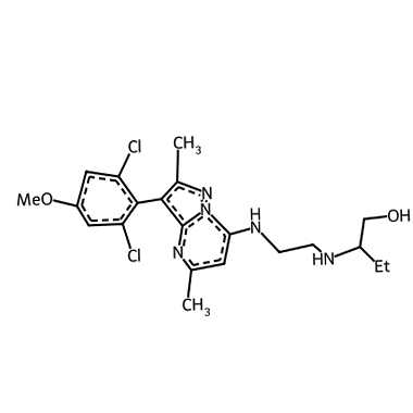 CCC(CO)NCCNc1cc(C)nc2c(-c3c(Cl)cc(OC)cc3Cl)c(C)nn12